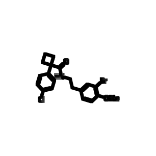 COc1ccc(CCNC(=O)C2(c3ccc(Cl)cc3)CCC2)cc1Br